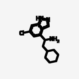 NC(CC1CCCCC1)c1cc(Cl)cc2[nH]ncc12